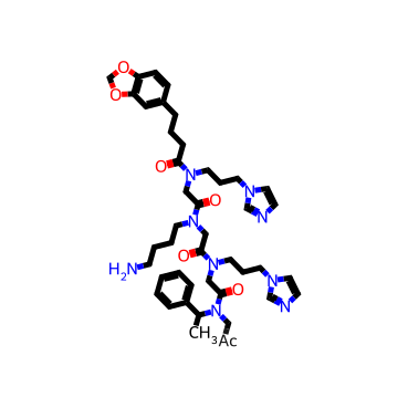 CC(=O)CN(C(=O)CN(CCCn1ccnc1)C(=O)CN(CCCCN)C(=O)CN(CCCn1ccnc1)C(=O)CCCc1ccc2c(c1)OCO2)C(C)c1ccccc1